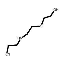 N#CCCNCCOCCO